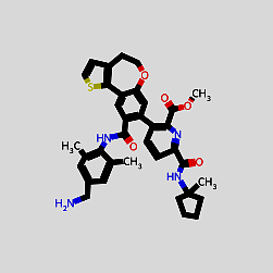 COC(=O)c1nc(C(=O)NC2(C)CCCC2)ccc1-c1cc2c(cc1C(=O)Nc1c(C)cc(CN)cc1C)-c1sccc1CCO2